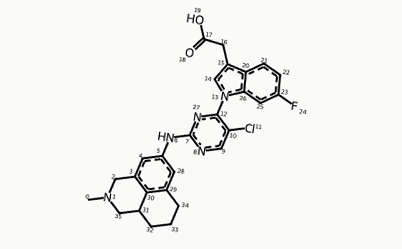 CN1Cc2cc(Nc3ncc(Cl)c(-n4cc(CC(=O)O)c5ccc(F)cc54)n3)cc3c2C(CCC3)C1